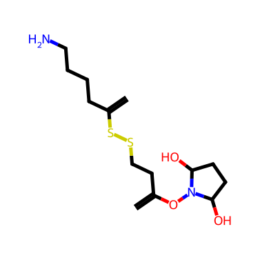 C=C(CCSSC(=C)CCCCN)ON1C(O)CCC1O